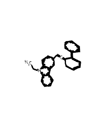 CCn1c2ccccc2c2cc(C=C=C3CC=CC=C3c3ccccc3)ccc21